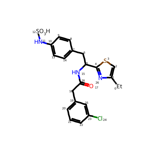 CCc1csc(C(Cc2ccc(NS(=O)(=O)O)cc2)NC(=O)Cc2cccc(Cl)c2)n1